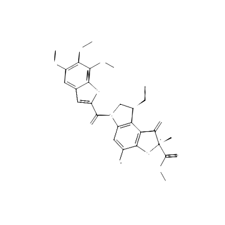 CC[C@@H]1CN(C(=O)c2cc3cc(OC)c(OC)c(OC)c3[nH]2)c2cc(O)c3c(c21)C(=O)[C@](C)(C(=O)OC)N3